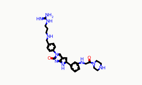 N=C(N)NCCCNCc1ccc(-n2cc3cc(-c4cccc(NCC(=O)N5CCNCC5)c4)[nH]c3nc2=O)cc1